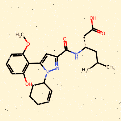 COc1cccc(O)c1-c1cc(C(=O)N[C@H](CC(=O)O)CC(C)C)nn1C1C=CCCC1